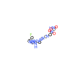 N=C(/C=C\C1NC=C(c2cccc(N3CCN(C4CCN(c5ccc6c(c5)C(=O)N(C5CCC(=O)NC5=O)C6=O)CC4)C3)n2)N1)N1CCC[C@@H]1c1cccc(F)c1